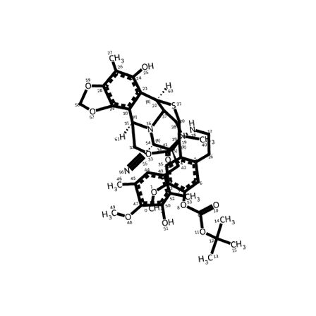 COc1cc2c(cc1OC(=O)OC(C)(C)C)CCN[C@]21CS[C@@H]2c3c(O)c(C)c4c(c3[C@H](COC1=O)N1C2CN(C)[C@@H](Cc2cc(C)c(OC)c(O)c2C)[C@@H]1C#N)OCO4